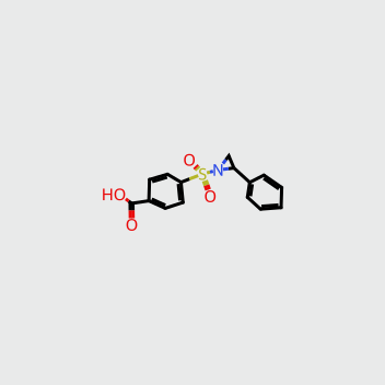 O=C(O)c1ccc(S(=O)(=O)N2CC2c2ccccc2)cc1